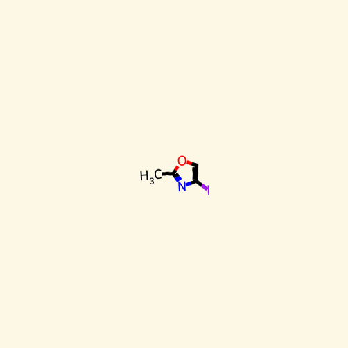 Cc1nc(I)co1